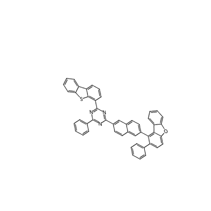 c1ccc(-c2nc(-c3ccc4cc(-c5c(-c6ccccc6)ccc6oc7ccccc7c56)ccc4c3)nc(-c3cccc4c3sc3ccccc34)n2)cc1